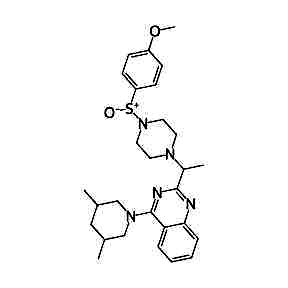 COc1ccc([S+]([O-])N2CCN(C(C)c3nc(N4CC(C)CC(C)C4)c4ccccc4n3)CC2)cc1